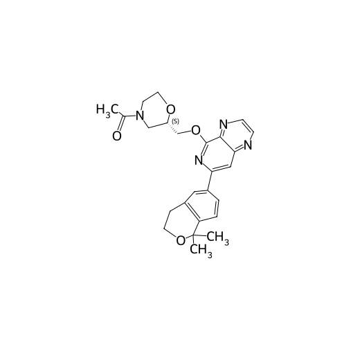 CC(=O)N1CCO[C@H](COc2nc(-c3ccc4c(c3)CCOC4(C)C)cc3nccnc23)C1